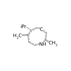 C=c1cccc(C(C)C)c(=C)cc[nH]1